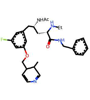 CCN[C@@H](C[C@H](Cc1cc(F)cc(OCC2C=CN=CC2C)c1)NC(C)=O)C(=O)NCc1ccccc1